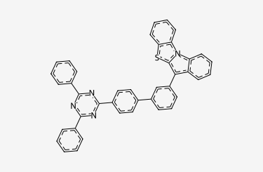 c1ccc(-c2nc(-c3ccccc3)nc(-c3ccc(-c4cccc(-c5c6ccccc6n6c5sc5ccccc56)c4)cc3)n2)cc1